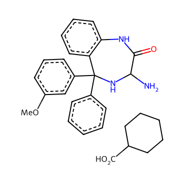 COc1cccc(C2(c3ccccc3)NC(N)C(=O)Nc3ccccc32)c1.O=C(O)C1CCCCC1